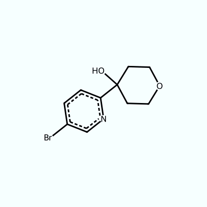 OC1(c2ccc(Br)cn2)CCOCC1